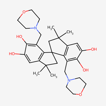 CC1(C)CC2(CC(C)(C)c3cc(O)c(O)c(CN4CCOCC4)c32)c2c1cc(O)c(O)c2CN1CCOCC1